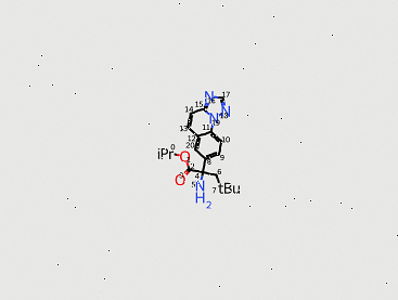 CC(C)OC(=O)C(N)(CC(C)(C)C)c1ccc2c(ccc3ncnn32)c1